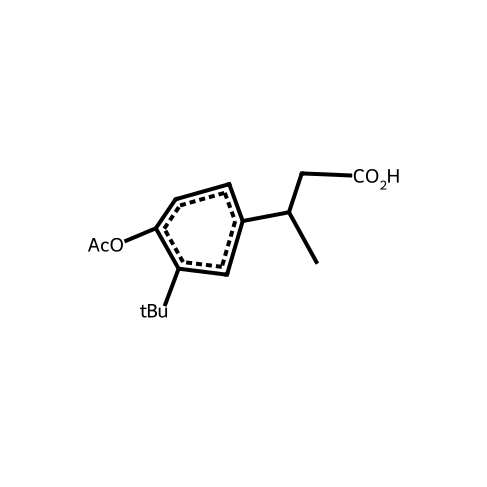 CC(=O)Oc1ccc(C(C)CC(=O)O)cc1C(C)(C)C